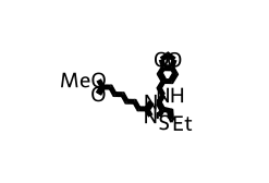 CCc1cc2c(NCc3ccc4c(c3)OCO4)nc(CCCCCCC(=O)OC)nc2s1